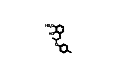 Cc1ccc(OC(C)Oc2cccc(C(=O)O)c2O)cc1